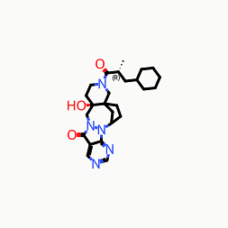 C[C@H](CC1CCCCC1)C(=O)N1CCC2(O)Cn3c(=O)c4cncnc4n3C3CCC2(C3)C1